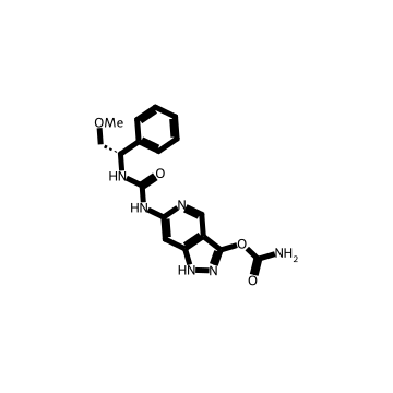 COC[C@@H](NC(=O)Nc1cc2[nH]nc(OC(N)=O)c2cn1)c1ccccc1